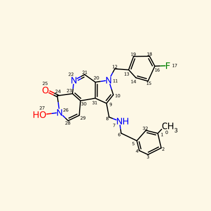 Cc1cccc(CNCc2cn(Cc3ccc(F)cc3)c3cnc4c(=O)n(O)ccc4c23)c1